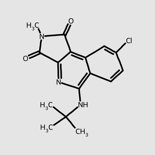 CN1C(=O)c2nc(NC(C)(C)C)c3ccc(Cl)cc3c2C1=O